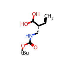 C=C[C@H](CNC(=O)OC(C)(C)C)C(O)O